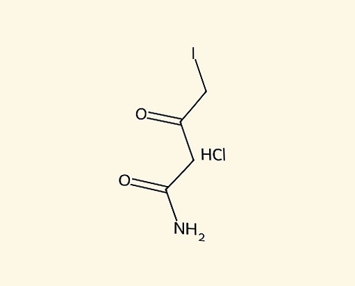 Cl.NC(=O)CC(=O)CI